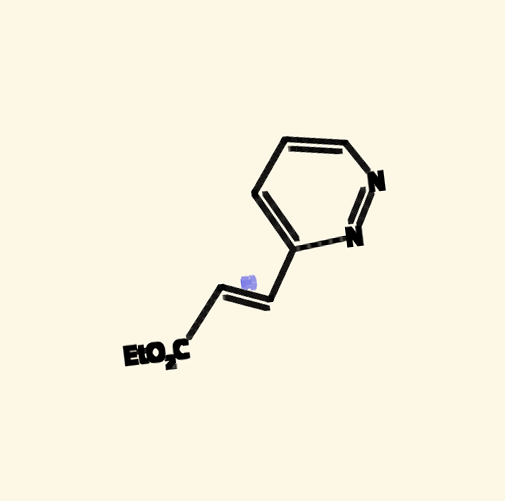 CCOC(=O)/C=C/c1cccnn1